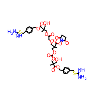 CC(CO)(COC(=O)COCC(C)(COC(=O)OCC(C)(CO)C(=O)OCc1ccc(CSC(=N)N)cc1)C(=O)ON1C(=O)CCC1=O)C(=O)OCc1ccc(CSC(=N)N)cc1